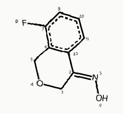 O/N=C1\COCc2c(F)cccc21